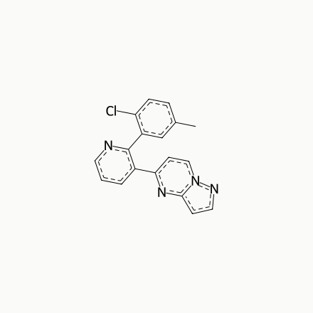 Cc1ccc(Cl)c(-c2ncccc2-c2ccn3nccc3n2)c1